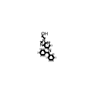 OCCn1cnc2cc(N=C(c3ccccc3)c3ccccc3)cnc21